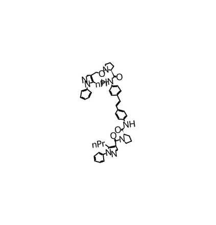 CCCc1c(CON2CCC[C@H]2C(=O)Nc2ccc(/C=C/c3ccc(NC(=O)[C@@H]4CCCN4C(=O)c4cnn(-c5ccccc5)c4CCC)cc3)cc2)cnn1-c1ccccc1